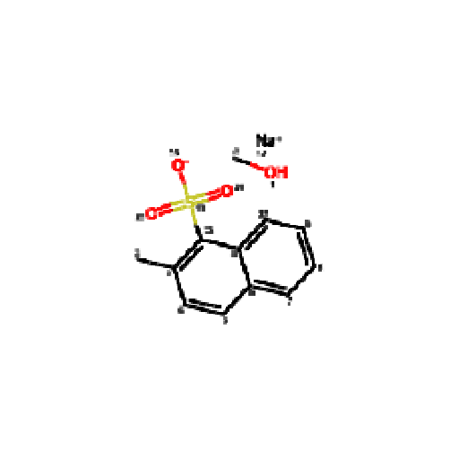 CO.Cc1ccc2ccccc2c1S(=O)(=O)[O-].[Na+]